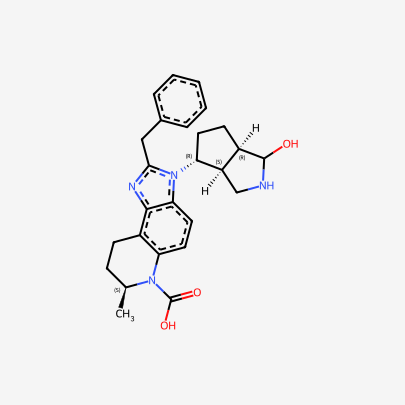 C[C@H]1CCc2c(ccc3c2nc(Cc2ccccc2)n3[C@@H]2CC[C@H]3C(O)NC[C@@H]23)N1C(=O)O